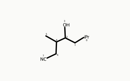 CC(C)CC(O)C(C)CC#N